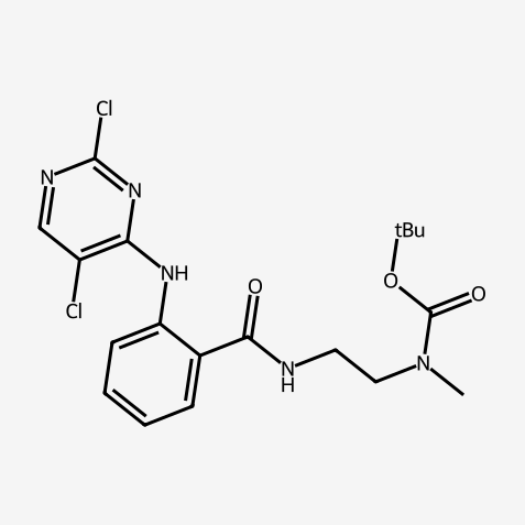 CN(CCNC(=O)c1ccccc1Nc1nc(Cl)ncc1Cl)C(=O)OC(C)(C)C